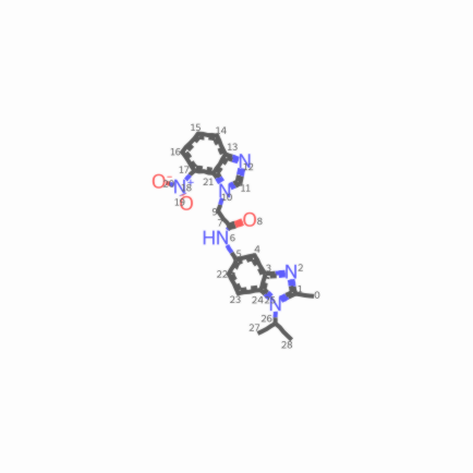 Cc1nc2cc(NC(=O)Cn3cnc4cccc([N+](=O)[O-])c43)ccc2n1C(C)C